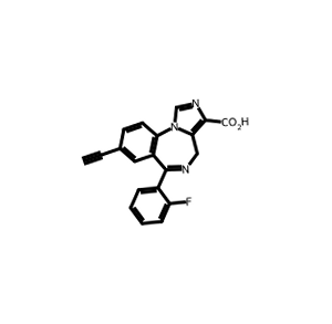 C#Cc1ccc2c(c1)C(c1ccccc1F)=NCc1c(C(=O)O)ncn1-2